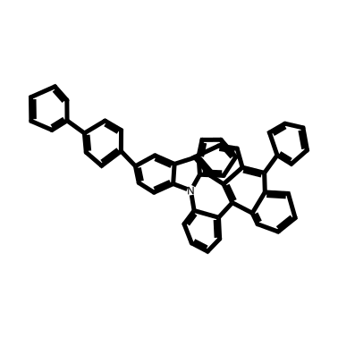 c1ccc(-c2ccc(-c3ccc4c(c3)c3ccccc3n4-c3ccccc3-c3c4ccccc4c(-c4ccccc4)c4ccccc34)cc2)cc1